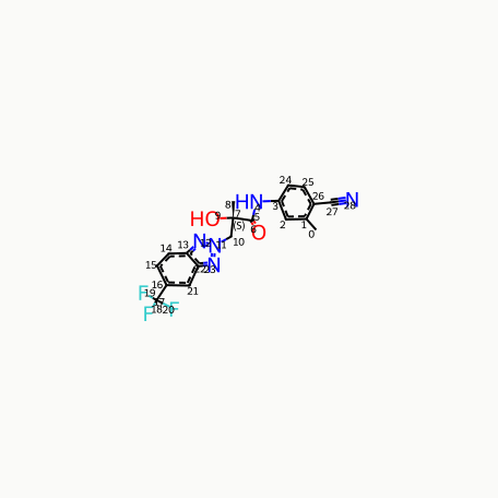 Cc1cc(NC(=O)[C@@](C)(O)Cn2nc3ccc(C(F)(F)F)cc3n2)ccc1C#N